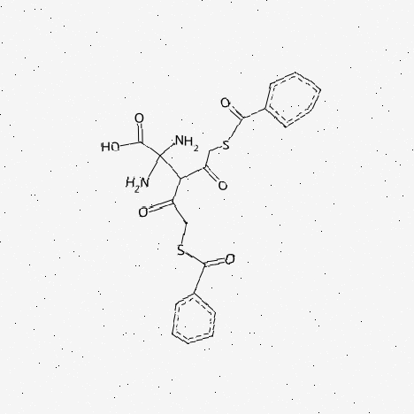 NC(N)(C(=O)O)C(C(=O)CSC(=O)c1ccccc1)C(=O)CSC(=O)c1ccccc1